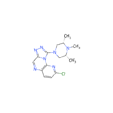 C[C@@H]1CN(c2nnc3cnc4ccc(Cl)nc4n23)C[C@H](C)N1C